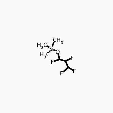 C[Si](C)(C)OC(F)C(F)C(F)F